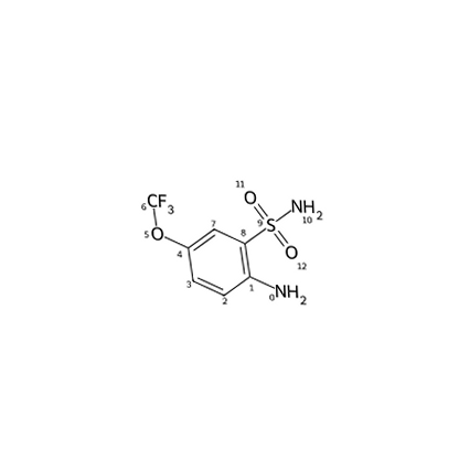 Nc1ccc(OC(F)(F)F)cc1S(N)(=O)=O